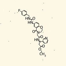 CCOC(=O)C[C@@H](NC(=O)CN1CCOc2ccc(NC(=O)NCc3ccc(F)cc3)cc2C1=O)c1cccnc1